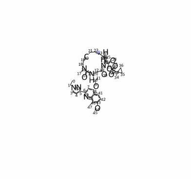 CCn1ccc(-c2cc(OCC[C@@H]3NC(=O)N(C)CCCC/C=C\[C@@H]4C[C@@]4(C(=O)OS(=O)(=O)C4(C)CC4)NC3=O)c3ccc(OC)c(C)c3n2)n1